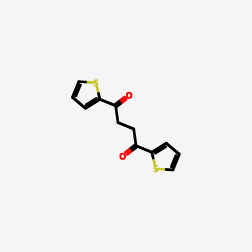 O=C(CCC(=O)c1cccs1)c1cccs1